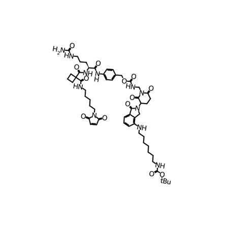 CC(C)(C)OC(=O)NCCCCCCCNc1cccc2c1CN(C1CCC(=O)N(CNC(=O)OCc3ccc(NC(=O)[C@H](CCCNC(N)=O)NC(=O)C4(C(=O)NCCCCCN5C(=O)C=CC5=O)CCC4)cc3)C1=O)C2=O